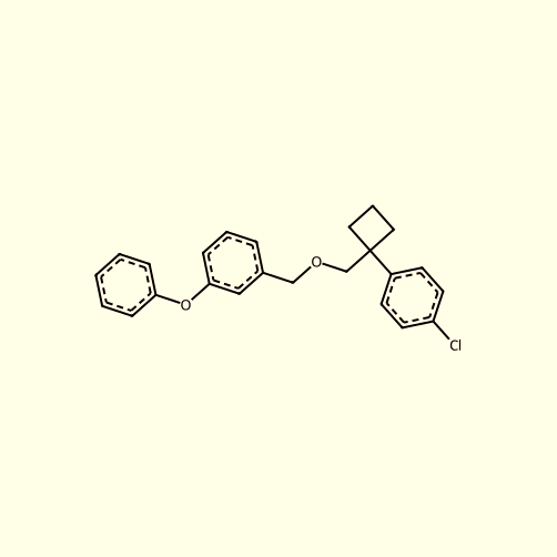 Clc1ccc(C2(COCc3cccc(Oc4ccccc4)c3)CCC2)cc1